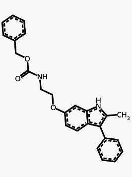 Cc1[nH]c2cc(OCCNC(=O)OCc3ccccc3)ccc2c1-c1ccccc1